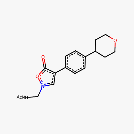 CC(=O)NCn1cc(-c2ccc(C3CCOCC3)cc2)c(=O)o1